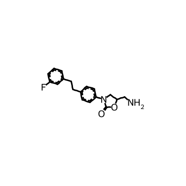 NCC1CN(c2ccc(CCc3cccc(F)c3)cc2)C(=O)O1